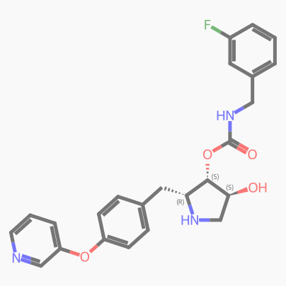 O=C(NCc1cccc(F)c1)O[C@@H]1[C@@H](O)CN[C@@H]1Cc1ccc(Oc2cccnc2)cc1